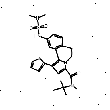 CN(C(=O)c1cc(-c2cccs2)c2n1CCc1ccc(NS(=O)(=O)N(C)C)cc1-2)C(C)(C)C